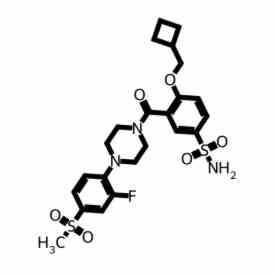 CS(=O)(=O)c1ccc(N2CCN(C(=O)c3cc(S(N)(=O)=O)ccc3OCC3CCC3)CC2)c(F)c1